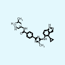 CC(C)C[C@@H](CO)NC(=O)c1ccc(-c2nc(Nc3ccc4[nH]ncc4c3C3CC3)n(C)n2)cc1